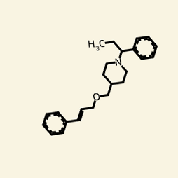 CCC(c1ccccc1)N1CCC(COCC=Cc2ccccc2)CC1